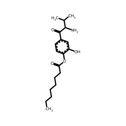 CCCCCCCC(=O)Oc1ccc(C(=O)C(N)C(C)C)cc1O